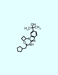 CC(C)(O)c1ccc2nc(NC(=O)CC3CCCC3)n(C3CCC3)c2c1